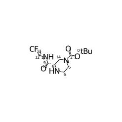 CC(C)(C)OC(=O)N1CCN[C@H](C(=O)NCC(F)(F)F)C1